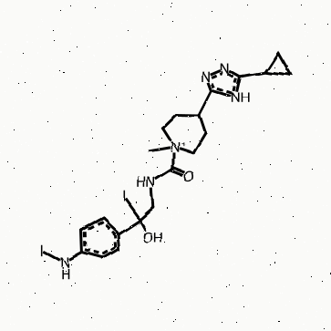 C[N+]1(C(=O)NCC(O)(I)c2ccc(NI)cc2)CCC(c2nnc(C3CC3)[nH]2)CC1